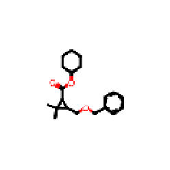 CC1(C)C(COCc2ccccc2)C1C(=O)OC1CCCCC1